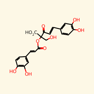 O=C(C=Cc1ccc(O)c(O)c1)OC(CO)(C(=O)O)C(=O)C=Cc1ccc(O)c(O)c1